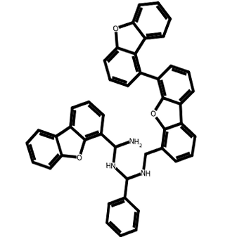 NC(NC(NCc1cccc2c1oc1c(-c3cccc4oc5ccccc5c34)cccc12)c1ccccc1)c1cccc2c1oc1ccccc12